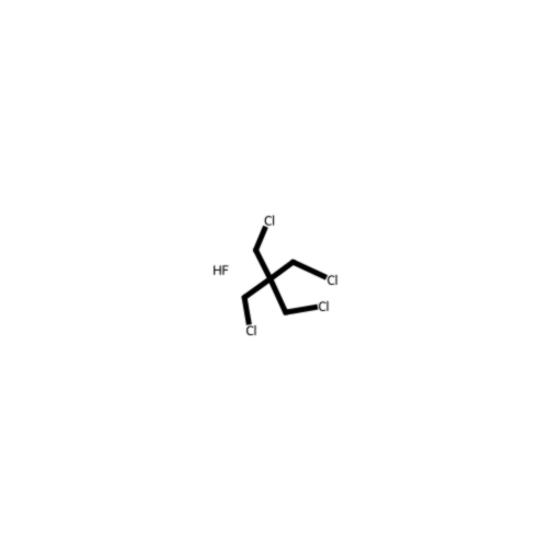 ClCC(CCl)(CCl)CCl.F